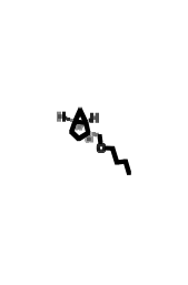 CCCCOC[C@@H]1CC[C@H]2C[C@@H]12